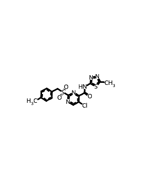 Cc1ccc(CS(=O)(=O)c2ncc(Cl)c(C(=O)Nc3nnc(C)s3)n2)cc1